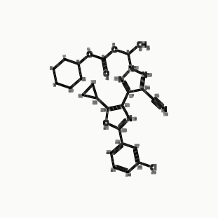 CC(OC(=O)OC1CCCCC1)n1nc(C#N)c(-c2nc(-c3cccc(Cl)c3)oc2C2CC2)n1